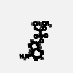 CCC(OC)S(=O)(=O)On1cnc2c(N)ncnc21